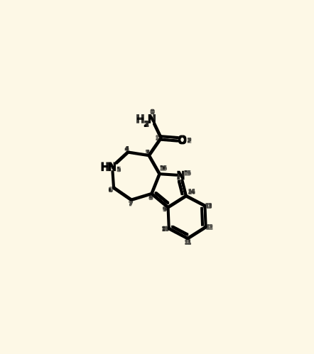 NC(=O)C1CNCCC2=c3ccccc3=NC21